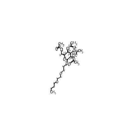 CCCCOCCOCCOC1OC(COC(C)=O)C(OC(C)=O)C(OC(C)=O)C1NC(C)=O